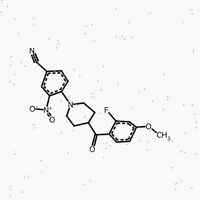 COc1ccc(C(=O)C2CCN(c3ccc(C#N)cc3[N+](=O)[O-])CC2)c(F)c1